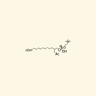 CCCCCCCCCCCCCCCCCCCC(COP(=O)(O)OCC[N+](C)(C)C)CC(C)=O